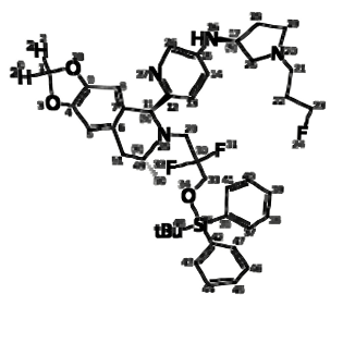 [2H]C1([2H])Oc2cc3c(cc2O1)[C@@H](c1ccc(N[C@H]2CCN(CCCF)C2)cn1)N(CC(F)(F)CO[Si](c1ccccc1)(c1ccccc1)C(C)(C)C)[C@H](C)C3